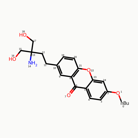 CCCCOc1ccc2c(=O)c3cc(CCC(N)(CO)CO)ccc3oc2c1